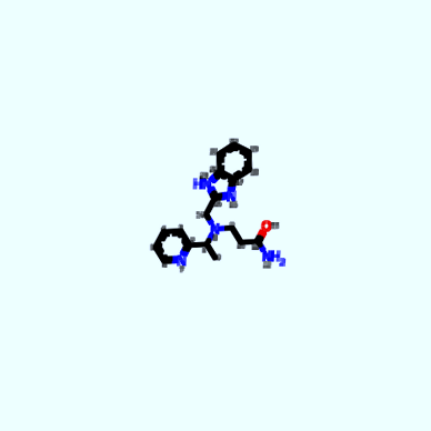 CC(c1ccccn1)N(CCC(N)=O)Cc1nc2ccccc2[nH]1